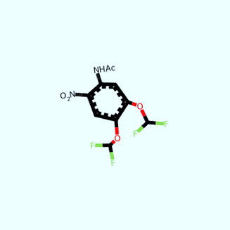 CC(=O)Nc1cc(OC(F)F)c(OC(F)F)cc1[N+](=O)[O-]